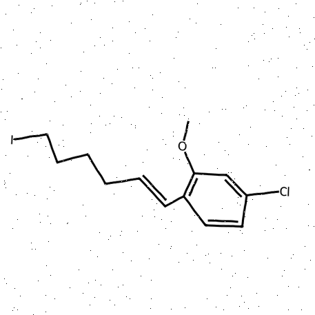 COc1cc(Cl)ccc1C=CCCCCI